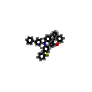 c1ccc(-c2ccc(N(c3ccc4c(c3)C3(c5ccccc5Oc5ccccc53)c3ccccc3-4)c3ccc4sc5ccccc5c4c3)cc2)cc1